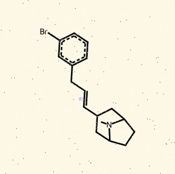 CN1C2CCC1CC(/C=C/Cc1cccc(Br)c1)C2